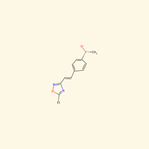 CCc1nc(/C=C/c2ccc([S+](C)[O-])cc2)no1